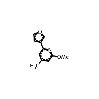 COc1cc(C)cc(-c2ccoc2)n1